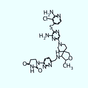 C[C@@H]1OCC2(CCN(c3cnc(Sc4ccnc(N)c4Cl)c(N)n3)CC2)[C@@H]1NCc1ccc(N2CCC(=O)NC2=O)nn1